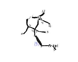 CN/C=C\[C@](C)(C(C)C)[Si](C)(C)C